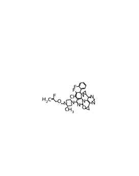 C=C(F)COCN1C[C@H](C)N(c2nc(=O)n(-c3c(C4CC4)ncnc3C3CC3)c3nc(-c4ccccc4F)c(F)cc23)C[C@H]1C